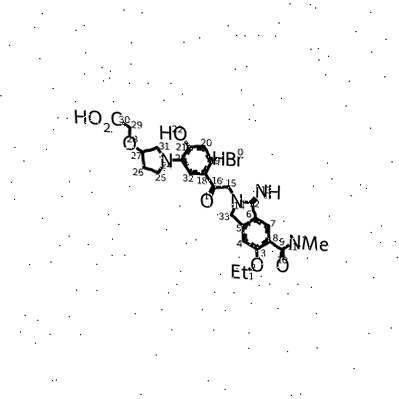 Br.CCOc1cc2c(cc1C(=O)NC)C(=N)N(CC(=O)c1ccc(O)c(N3CCC(OCC(=O)O)C3)c1)C2